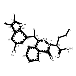 CCCC(C(=O)O)n1nc(C(C)c2cc(Cl)cc3c(C)c(C)[nH]c23)c2ccccc2c1=O